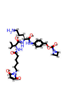 CC(C)[C@H](NC(=O)CCCCCN1C(=O)C=CC1=O)C(=O)N[C@@H](CCCN)C(=O)Nc1ccc(COC(=O)N2CCC2)cc1